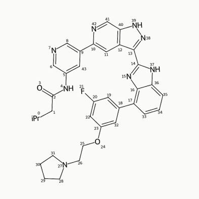 CC(C)CC(=O)Nc1cncc(-c2cc3c(-c4nc5c(-c6cc(F)cc(OCCN7CCCC7)c6)cccc5[nH]4)n[nH]c3cn2)c1